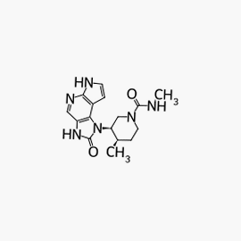 CNC(=O)N1CC[C@@H](C)[C@@H](n2c(=O)[nH]c3cnc4[nH]ccc4c32)C1